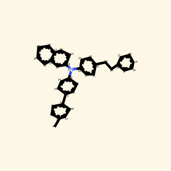 Cc1ccc(-c2ccc(N(c3ccc(CCc4ccccc4)cc3)c3ccc4ccccc4c3)cc2)cc1